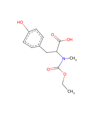 CCOC(=O)N(C)C(Cc1ccc(O)cc1)C(=O)O